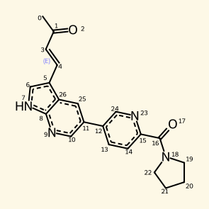 CC(=O)/C=C/c1c[nH]c2ncc(-c3ccc(C(=O)N4CCCC4)nc3)cc12